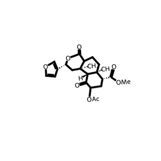 COC(=O)[C@@H]1CC(OC(C)=O)C(=O)[C@H]2[C@@]1(C)CCC1C(=O)O[C@@H](c3ccoc3)C[C@@]12C